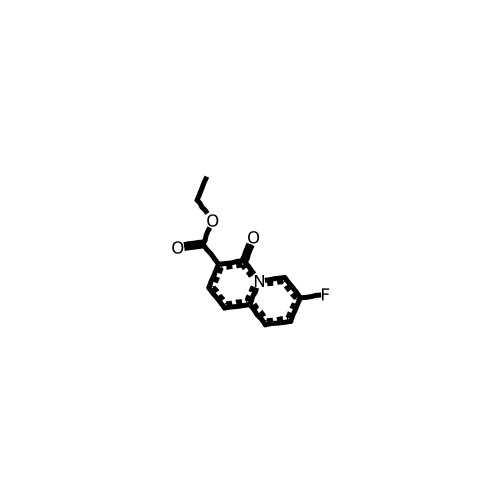 CCOC(=O)c1ccc2ccc(F)cn2c1=O